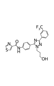 O=C(Nc1ccc(-c2nc(-c3cccc(C(F)(F)F)c3)nn2CCCO)cc1)c1cscn1